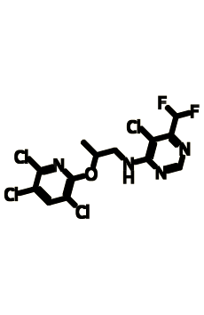 CC(CNc1ncnc(C(F)F)c1Cl)Oc1nc(Cl)c(Cl)cc1Cl